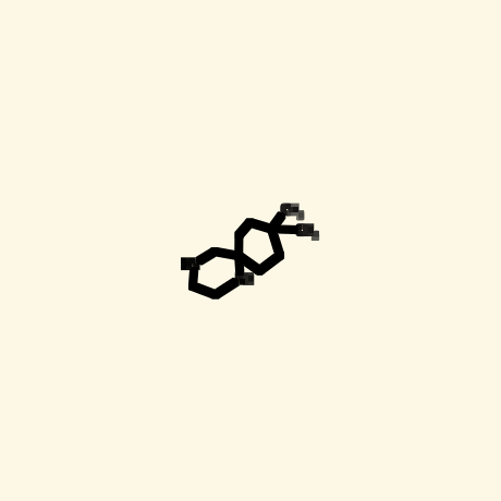 CC1(C)CCC2(CC1)CNCCN2